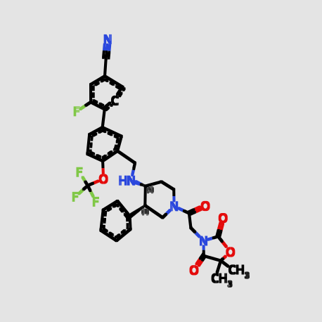 CC1(C)OC(=O)N(CC(=O)N2CC[C@H](NCc3cc(-c4ccc(C#N)cc4F)ccc3OC(F)(F)F)[C@H](c3ccccc3)C2)C1=O